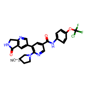 N#C[C@H]1CCN(c2ncc(C(=O)Nc3ccc(OC(F)(F)Cl)cc3)cc2-c2cnc3c(c2)C(=O)NC3)C1